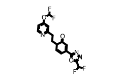 O=C1C=C(c2nnc(C(F)F)o2)C=CC1CCc1cc(OC(F)F)ccn1